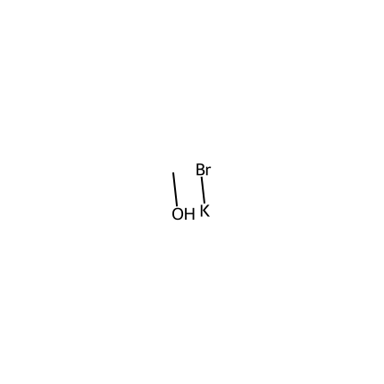 CO.[K][Br]